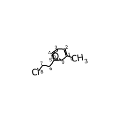 Cc1cc2cc(CCCl)c1o2